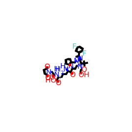 CC(C)(C)[C@H](c1nc(-c2cc(F)ccc2F)cn1Cc1ccccc1)N(CC[C@H](N)C(=O)C(N)CCC[C@H](NC(=O)CN1C(=O)C=CC1=O)C(=O)O)C(=O)CO